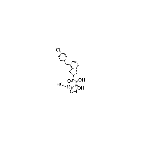 OC[C@H]1O[C@@H](C2Cc3cccc(Cc4ccc(Cl)cc4)c3S2)[C@H](O)[C@@H](O)[C@@H]1O